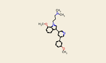 COc1cccc(-c2cncc(-c3cn(CCCN(C)C)c4c(OC)cccc34)c2)c1